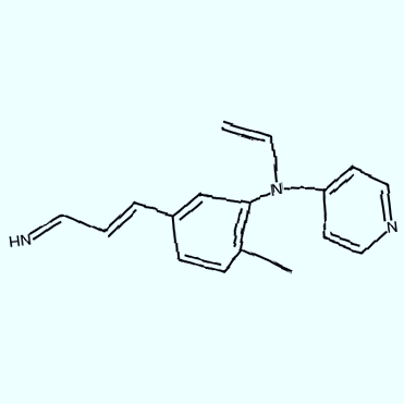 C=CN(c1ccncc1)c1cc(/C=C/C=N)ccc1C